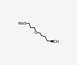 C#CCCCCOCCCSC